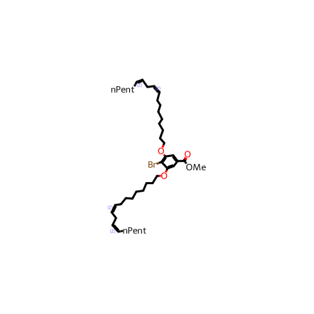 CCCCC/C=C\C/C=C\CCCCCCCCOc1cc(C(=O)OC)cc(OCCCCCCCC/C=C\C/C=C\CCCCC)c1Br